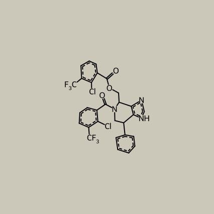 O=C(OCC1c2nc[nH]c2C(c2ccccc2)CN1C(=O)c1cccc(C(F)(F)F)c1Cl)c1cccc(C(F)(F)F)c1Cl